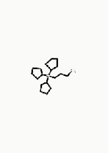 CCCC[Si](C1CCCC1)(C1CCCC1)C1CCCC1